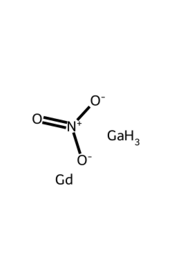 O=[N+]([O-])[O-].[GaH3].[Gd]